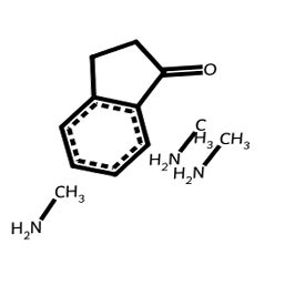 CN.CN.CN.O=C1CCc2ccccc21